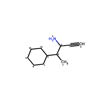 C#CC(N)C(C)C1CCCCC1